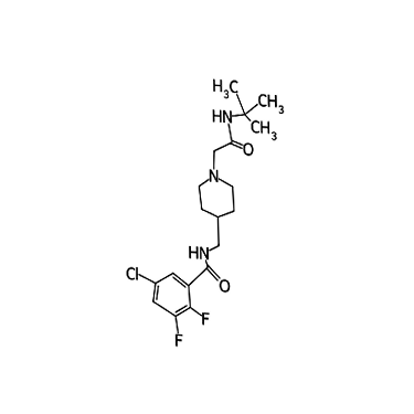 CC(C)(C)NC(=O)CN1CCC(CNC(=O)c2cc(Cl)cc(F)c2F)CC1